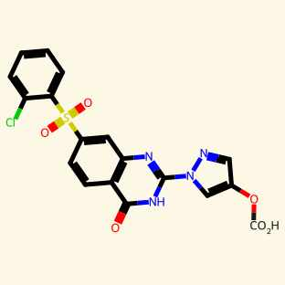 O=C(O)Oc1cnn(-c2nc3cc(S(=O)(=O)c4ccccc4Cl)ccc3c(=O)[nH]2)c1